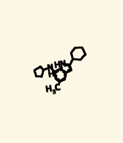 Cc1cc(NC2CCCC2)c2[nH]c(C3CCCCC3)cc2c1